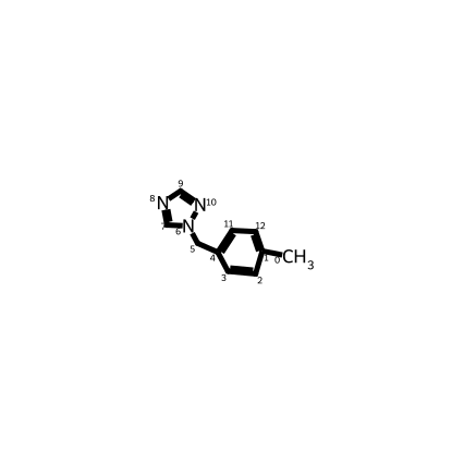 Cc1ccc(Cn2cncn2)cc1